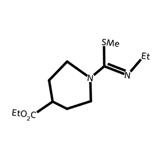 CC/N=C(\SC)N1CCC(C(=O)OCC)CC1